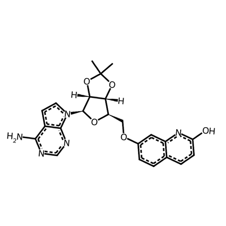 CC1(C)O[C@@H]2[C@H](O1)[C@@H](COc1ccc3ccc(O)nc3c1)O[C@H]2n1ccc2c(N)ncnc21